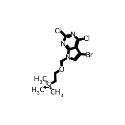 C[Si](C)(C)CCOCn1cc(Br)c2c(Cl)nc(Cl)nc21